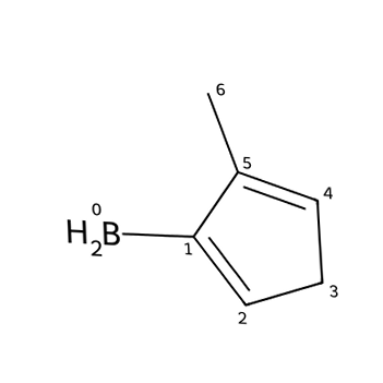 BC1=CCC=C1C